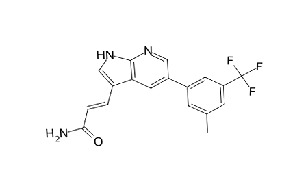 Cc1cc(-c2cnc3[nH]cc(C=CC(N)=O)c3c2)cc(C(F)(F)F)c1